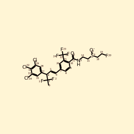 CC(F)(F)C(C=Cc1ccc(C(=O)NCC[S+]([O-])CCF)c(C(F)(F)F)c1)c1cc(Cl)c(Cl)c(Cl)c1